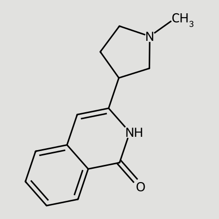 CN1CCC(c2cc3ccccc3c(=O)[nH]2)C1